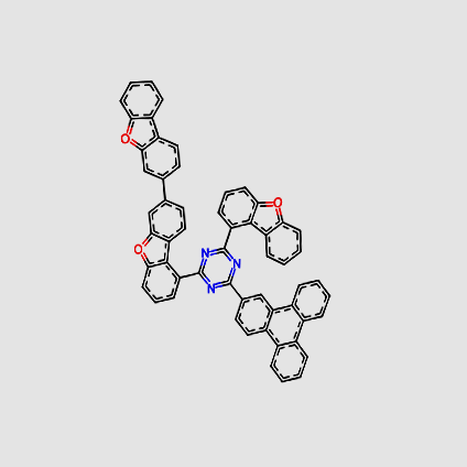 c1ccc2c(c1)oc1cc(-c3ccc4c(c3)oc3cccc(-c5nc(-c6ccc7c8ccccc8c8ccccc8c7c6)nc(-c6cccc7oc8ccccc8c67)n5)c34)ccc12